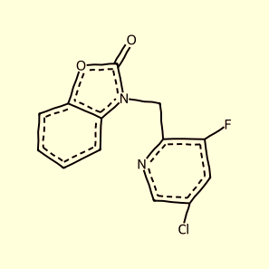 O=c1oc2ccccc2n1Cc1ncc(Cl)cc1F